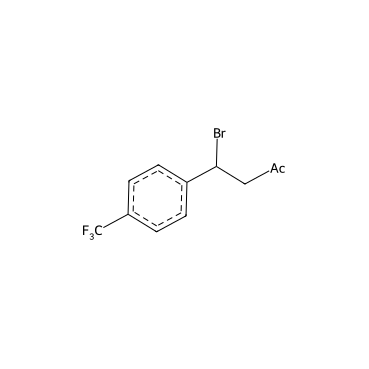 CC(=O)CC(Br)c1ccc(C(F)(F)F)cc1